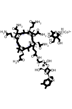 C/C1=C2/[N-][C@H]([C@H](CC(N)=O)[C@@]2(C)CCC(=O)NC[C@@H](C)O[P@@](=O)(O)O[C@@H]2[C@@H](O)[C@@H](n3cnc4cc(C)c(C)cc43)O[C@H]2CO)[C@]2(C)N=C(/C(C)=C3N=C(/C=C4N=C1[C@@H](CCC(N)=O)C\4(C)C)[C@@H](CCC(N)=O)[C@]\3(C)CC(N)=O)[C@@H](CCC(N)=O)[C@]2(C)CC(N)=O.Cc1ncc(CO)c(CO)c1O.Cl.[C-]#N.[Co+3]